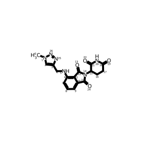 Cn1cc(CNc2cccc3c2C(=O)N(C2CCC(=O)NC2=O)C3=O)nn1